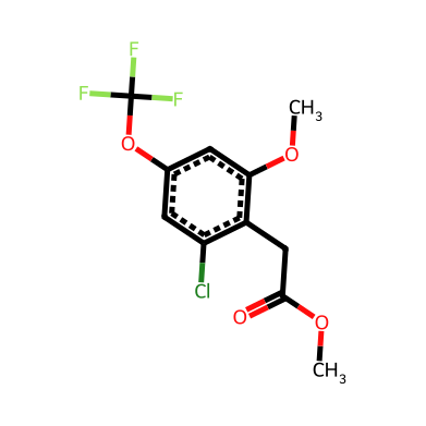 COC(=O)Cc1c(Cl)cc(OC(F)(F)F)cc1OC